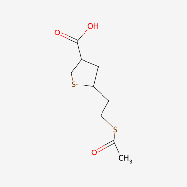 CC(=O)SCCC1CC(C(=O)O)CS1